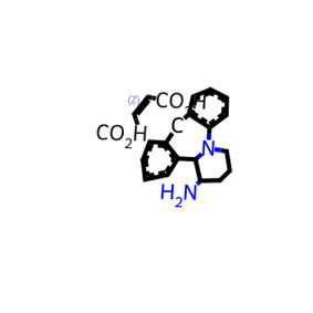 NC1CCCN2c3ccccc3Cc3ccccc3C12.O=C(O)/C=C\C(=O)O